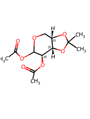 CC(=O)OC1OC[C@@H]2OC(C)(C)O[C@@H]2[C@H]1OC(C)=O